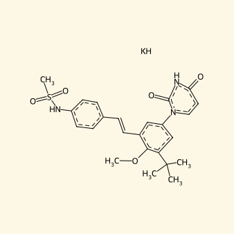 COc1c(/C=C/c2ccc(NS(C)(=O)=O)cc2)cc(-n2ccc(=O)[nH]c2=O)cc1C(C)(C)C.[KH]